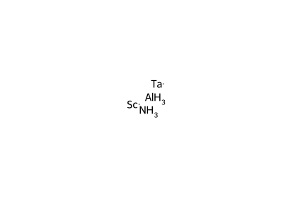 N.[AlH3].[Sc].[Ta]